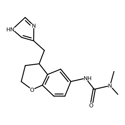 CN(C)C(=O)Nc1ccc2c(c1)C(Cc1c[nH]cn1)CCO2